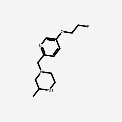 CC1CN(Cc2ccc(OCCF)cn2)CCN1